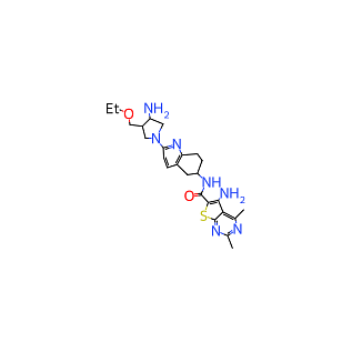 CCOCC1CN(c2ccc3c(n2)CCC(NC(=O)c2sc4nc(C)nc(C)c4c2N)C3)CC1N